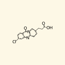 O=C(O)CCc1ccc2nc3cc(Cl)ccc3c(=O)n2c1